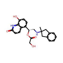 CC1(NC[C@H](OC(=O)CO)c2ccc(O)c3[nH]c(=O)ccc23)Cc2ccccc2C1